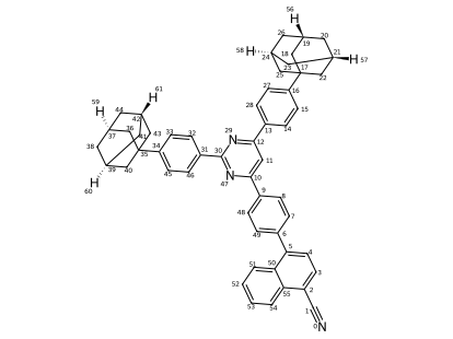 N#Cc1ccc(-c2ccc(-c3cc(-c4ccc(C56C[C@H]7C[C@H](C5)C[C@@H](C6)C7)cc4)nc(-c4ccc(C56C[C@H]7C[C@H](C5)C[C@@H](C6)C7)cc4)n3)cc2)c2ccccc12